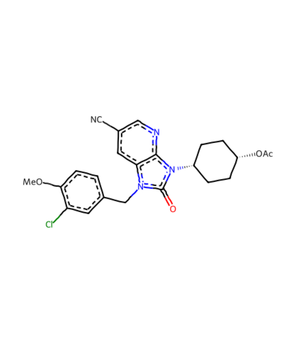 COc1ccc(Cn2c(=O)n([C@H]3CC[C@@H](OC(C)=O)CC3)c3ncc(C#N)cc32)cc1Cl